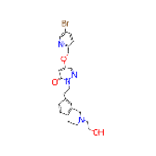 O=c1cc(OCc2ccc(Br)cn2)cnn1CCc1ccc2c(c1)CN(CCO)CC2